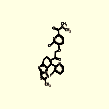 Cc1nn2c3c(nc2s1)CCN(C(=O)COc1ccc(C(=O)N(C)C)nc1Cl)C3c1ncccc1F